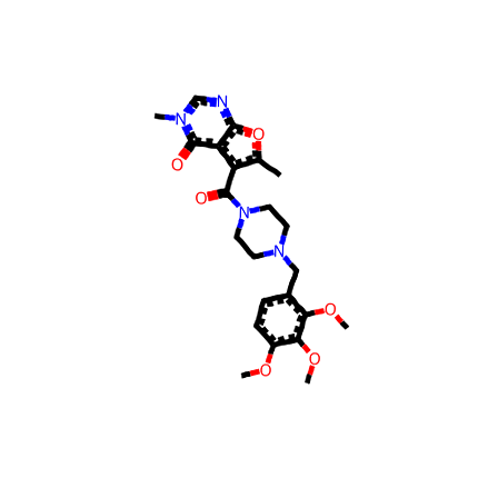 COc1ccc(CN2CCN(C(=O)c3c(C)oc4ncn(C)c(=O)c34)CC2)c(OC)c1OC